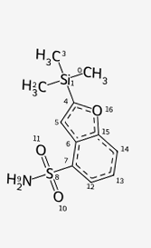 C[Si](C)(C)c1cc2c(S(N)(=O)=O)cccc2o1